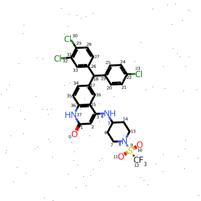 O=c1cc(NC2CCN(S(=O)(=O)C(F)(F)F)CC2)c2cc(C(c3ccc(Cl)cc3)c3ccc(Cl)c(Cl)c3)ccc2[nH]1